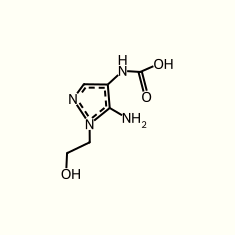 Nc1c(NC(=O)O)cnn1CCO